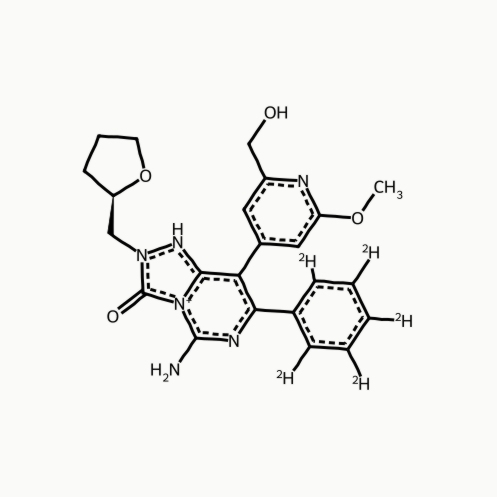 [2H]c1c([2H])c([2H])c(-c2nc(N)[n+]3c(=O)n(C[C@H]4CCCO4)[nH]c3c2-c2cc(CO)nc(OC)c2)c([2H])c1[2H]